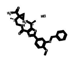 COc1ccc(-c2nc(C(=O)NC[C@H](C)C3(C(N)=O)CC3)c([C@H](C)N)o2)cc1OCc1ccccc1.Cl